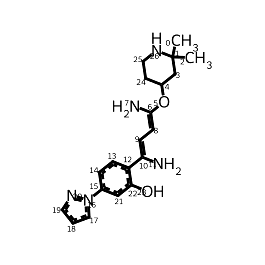 CC1(C)CC(O/C(N)=C/C=C(\N)c2ccc(-n3cccn3)cc2O)CCN1